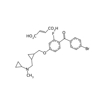 CN(CC1CC1COc1ccc(C(=O)c2ccc(Br)cc2)c(F)c1)C1CC1.O=C(O)C=CC(=O)O